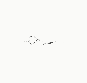 CC#CC(=O)Oc1ccc(F)cc1